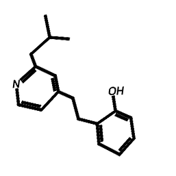 CC(C)Cc1cc(CCc2ccccc2O)ccn1